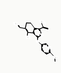 C=C(N)c1sc(Oc2ccc(NC)nc2)c2c1CCC(C=N)=C2S